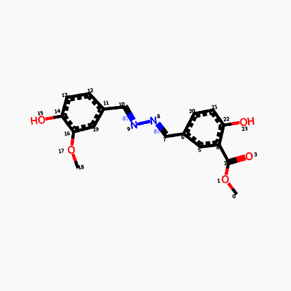 COC(=O)c1cc(/C=N/N=C/c2ccc(O)c(OC)c2)ccc1O